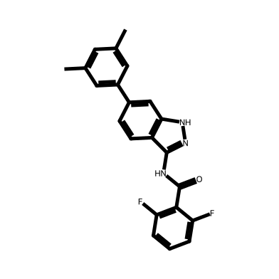 Cc1cc(C)cc(-c2ccc3c(NC(=O)c4c(F)cccc4F)n[nH]c3c2)c1